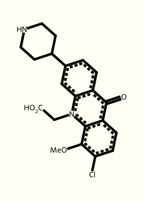 COc1c(Cl)ccc2c(=O)c3ccc(C4CCNCC4)cc3n(CC(=O)O)c12